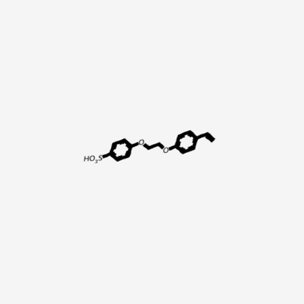 C=Cc1ccc(OCCOc2ccc(S(=O)(=O)O)cc2)cc1